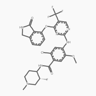 COc1cc(C(=O)NC2CCN(C)C[C@H]2F)c(Cl)cc1Nc1ncc(C(F)(F)F)c(Oc2cccc3c2C(=O)NC3)n1